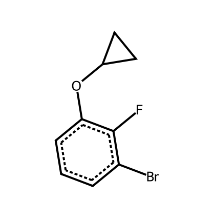 Fc1c(Br)cccc1OC1CC1